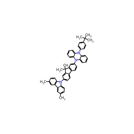 Cc1ccc2c(c1)c1cc(C)ccc1n2-c1ccc2c(c1)C(C)(C)c1cc(N3c4ccccc4N(c4ccc(C(C)(C)C)cc4)c4ccccc43)ccc1-2